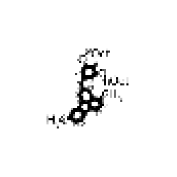 CCCCCCCCOc1cc(CC2C=C3c4cc(C)ccc4-c4ccc(C)c(c43)C2)cc(OCCCCCCCC)c1